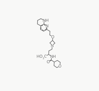 O=C(NC(CCN1CC(OCCc2ccc3c(n2)NCCC3)C1)C(=O)O)C1CCOCC1